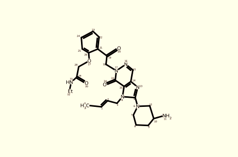 C/C=C/Cn1c(N2CCCC(N)C2)nc2cnn(CC(=O)c3ccccc3OCC(=O)NCC)c(=O)c21